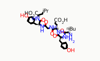 CC[C@H](C)[C@H](N)C(=O)N[C@@H](Cc1ccc(O)cc1)C(=O)N[C@@H](CCC(=O)O)C(=O)NCC(=O)N[C@@H](Cc1ccc(O)cc1)C(=O)N[C@@H](CC(C)C)C(=O)O